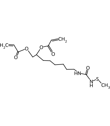 C=CC(=O)OCC(CCCCCCNC(=O)NSC)OC(=O)C=C